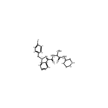 CC(C)(C)C(NC(=O)c1nn(Cc2ccc(F)cc2)c2ccccc12)C(=O)NC1CCCOC1